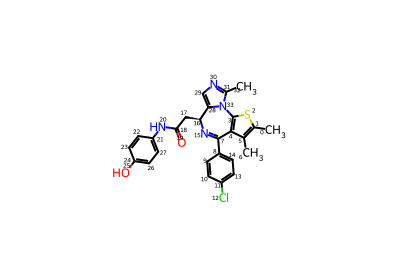 Cc1sc2c(c1C)C(c1ccc(Cl)cc1)=N[C@@H](CC(=O)Nc1ccc(O)cc1)c1cnc(C)n1-2